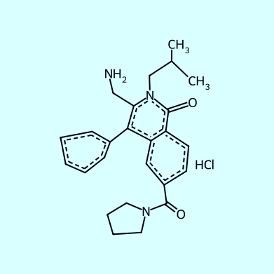 CC(C)Cn1c(CN)c(-c2ccccc2)c2cc(C(=O)N3CCCC3)ccc2c1=O.Cl